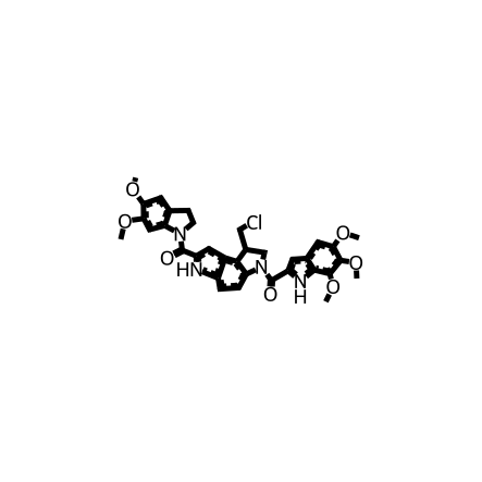 COc1cc2c(cc1OC)N(C(=O)c1cc3c4c(ccc3[nH]1)N(C(=O)c1cc3cc(OC)c(OC)c(OC)c3[nH]1)CC4CCl)CC2